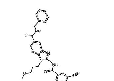 COCCCn1c(NC(=O)c2cccc(C#N)c2)nc2cc(C(=O)NCc3ccccc3)cnc21